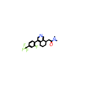 CN(C)C(=O)CC1CCCc2c(-c3ccc(C(F)(F)F)cc3F)cncc21